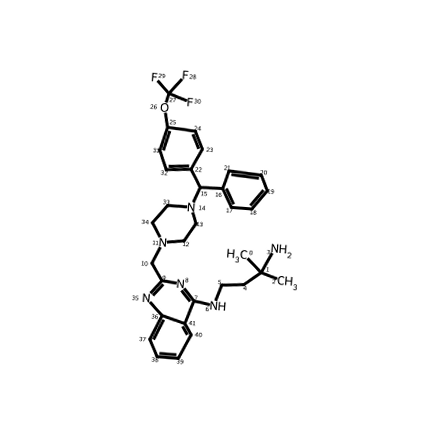 CC(C)(N)CCNc1nc(CN2CCN(C(c3ccccc3)c3ccc(OC(F)(F)F)cc3)CC2)nc2ccccc12